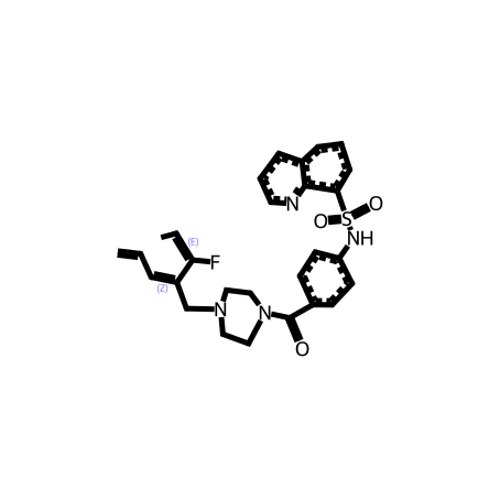 C=C/C=C(CN1CCN(C(=O)c2ccc(NS(=O)(=O)c3cccc4cccnc34)cc2)CC1)\C(F)=C/C